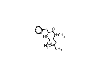 CCNC(Cc1ccccc1)C(=O)N(C)CCC(C)C